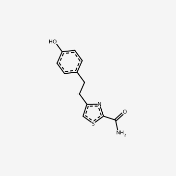 NC(=O)c1nc([CH]Cc2ccc(O)cc2)cs1